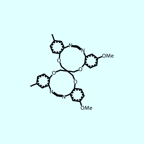 COc1ccc2c(c1)N=C=Nc1cc(C)ccc1OCC1(COc3ccc(C)cc3N=C=Nc3cc(OC)ccc3OC1)CO2